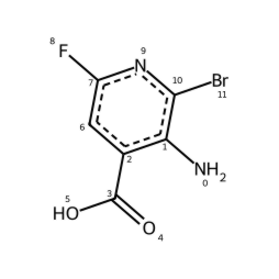 Nc1c(C(=O)O)cc(F)nc1Br